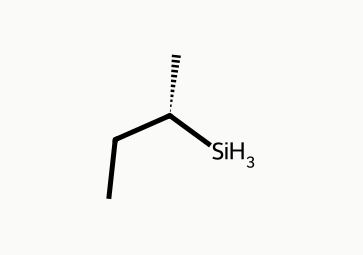 CC[C@H](C)[SiH3]